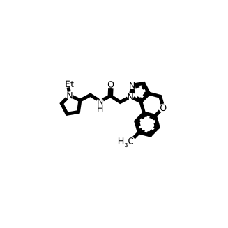 CCN1CCCC1CNC(=O)Cn1ncc2c1-c1cc(C)ccc1OC2